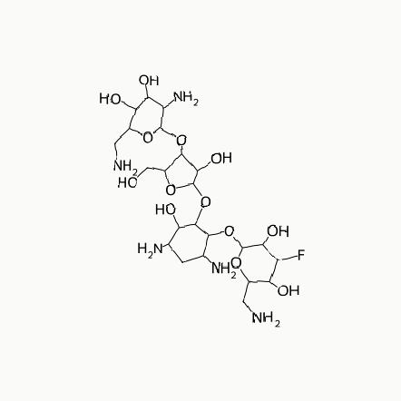 NCC1OC(OC2C(CO)OC(OC3C(O)C(N)CC(N)C3OC3OC(CN)C(O)C(F)C3O)C2O)C(N)C(O)C1O